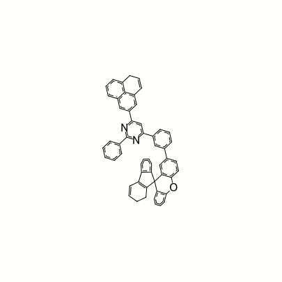 C1=CC2=C(CC1)C1(c3ccccc3Oc3ccc(-c4cccc(-c5cc(-c6cc7c8c(cccc8c6)CC=C7)nc(-c6ccccc6)n5)c4)cc31)c1ccccc12